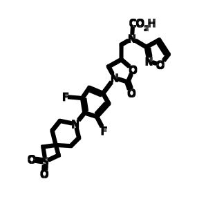 O=C1OC(CN(C(=O)O)c2ccon2)CN1c1cc(F)c(N2CCC3(CC2)CS(=O)(=O)C3)c(F)c1